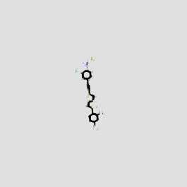 CCCc1ccc(-c2cc3sc(C#Cc4ccc(N=C=S)c(F)c4)cc3s2)c(CCC)c1